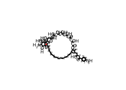 CNc1ccc(C(=O)CC(O)CCC(C)C2OC(=O)CC(O)CC(=O)CC(O)CC(O)CC(O)CC(O)CC3(O)CC(O)C(C(=O)O)C(CC(O[C@@H]4O[C@H](C)[C@@H](O)[C@H](N)[C@@H]4O)/C=C/C=C/C=C/C=C/C=C/C=C/C=C/C2C)O3)cc1